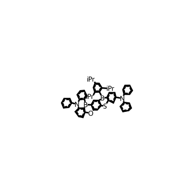 CC(C)c1cc(C(C)C)c(B2c3ccc(N(c4ccccc4)c4ccccc4)cc3Sc3cc4c(cc32)B2c3ccccc3N(c3ccccc3)c3cccc(c32)O4)c(C(C)C)c1